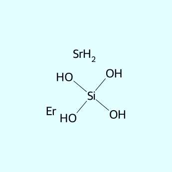 O[Si](O)(O)O.[Er].[SrH2]